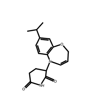 CC(C)c1ccc2c(c1)OCC=CN2C1CCC(=O)NC1=O